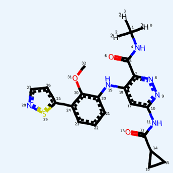 [2H]C([2H])([2H])NC(=O)c1nnc(NC(=O)C2CC2)cc1Nc1cccc(-c2ccns2)c1OC